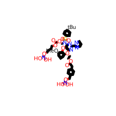 COc1ccccc1Oc1c(OCCOC(=O)Cc2ccc(CON(O)O)cc2)nc(-c2ncccn2)nc1N(COC(=O)OCCCCON(O)O)S(=O)(=O)c1ccc(C(C)(C)C)cc1